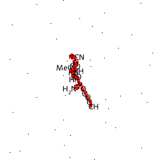 C#CCOCCOCCOCCOCCN(CCCNC(=O)c1ncn(-c2ncc(OC)c3c(C(=O)C(=O)N4CCC(=C(C#N)c5ccccc5)CC4)c[nH]c23)n1)C1CCC(N)CC1